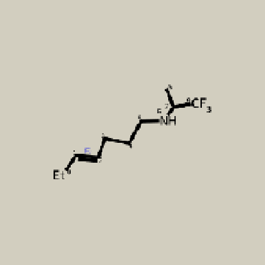 CC/C=C/CCCNC(C)C(F)(F)F